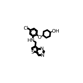 O[C@H]1CC[C@@H](Oc2ccc(Cl)cc2NCc2csc3cncnc23)CC1